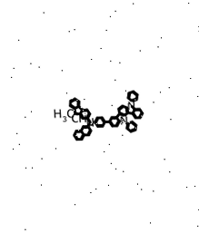 CC1(C)c2ccccc2-c2ccc(N(c3ccc(-c4ccc5c(c4)c4ccc6c(c7ccccc7n6-c6ccccc6)c4n5-c4ccccc4)cc3)c3ccc4ccccc4c3)cc21